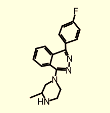 CC1CN(c2nnc(-c3ccc(F)cc3)c3ccccc23)CCN1